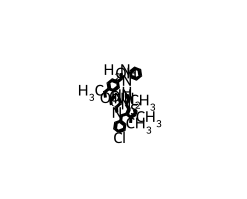 CC(=N)N1c2sc(C)c(C)c2C(c2ccc(Cl)cc2)=N[C@H](CC(=O)O[C@H](C)c2ccc(C(O)Nc3ccccc3N)cc2)C1N